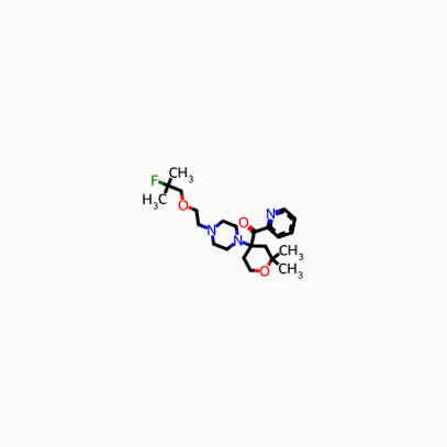 CC(C)(F)COCCN1CCN(C2(C(=O)c3ccccn3)CCOC(C)(C)C2)CC1